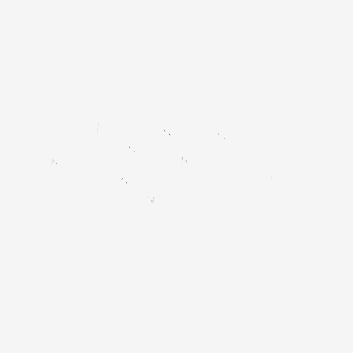 Cn1c(CN2CCC(C(C)(C)O)CC2)nc2c(N3CCOCC3)nc(-c3c(F)cnc4ccccc34)nc21